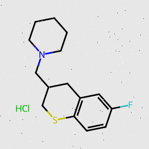 Cl.Fc1ccc2c(c1)CC(CN1CCCCC1)CS2